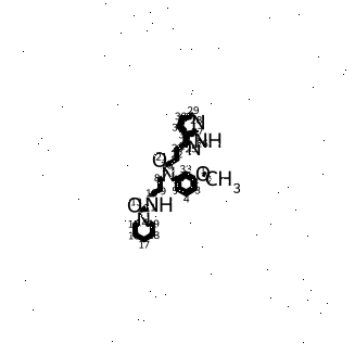 COc1cccc(N(CCCNC(=O)N2CCCCC2)C(=O)CCc2n[nH]c3ncccc23)c1